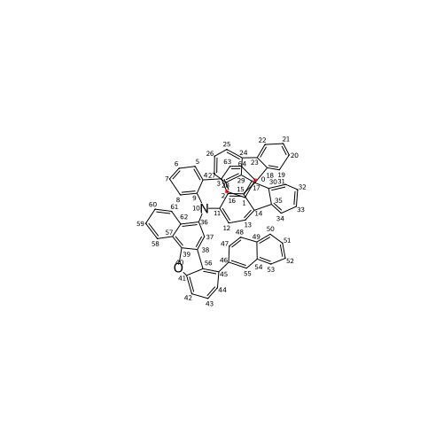 c1ccc(-c2ccccc2N(c2ccc3c(c2)C2(c4ccccc4-c4ccccc42)c2ccccc2-3)c2cc3c(oc4cccc(-c5ccc6ccccc6c5)c43)c3ccccc23)cc1